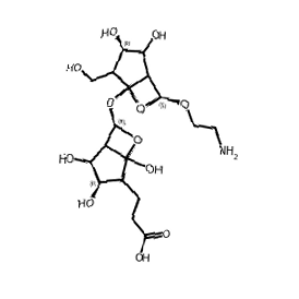 NCCO[C@H]1OC2(O[C@H]3OC4(O)C3C(O)[C@H](O)C4CCC(=O)O)C1C(O)[C@H](O)C2CO